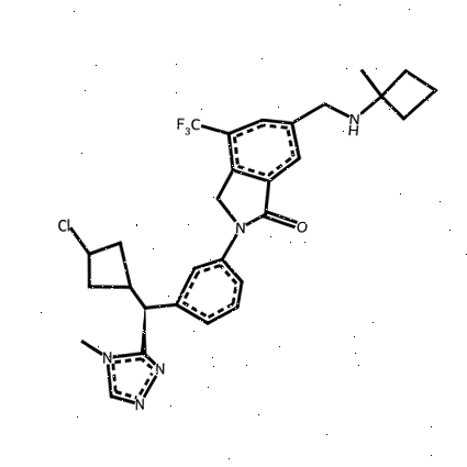 Cn1cnnc1[C@H](c1cccc(N2Cc3c(cc(CNC4(C)CCC4)cc3C(F)(F)F)C2=O)c1)C1CC(Cl)C1